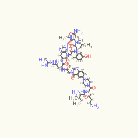 CC[C@H](C)[C@H](N)C(=O)N[C@@H](CCCCN)C(=O)N1CCN(c2ccc3ncn(CC(=O)N[C@@H](CCCNC(=N)N)C(=O)N[C@H]4Cc5nc[nH]c5N([C@@H](Cc5ccc(O)cc5)C(=O)N[C@@H](CC(C)C)C(=O)N[C@@H](CC(N)=O)C(=O)NC)C4=O)c(=O)c3c2)CC1